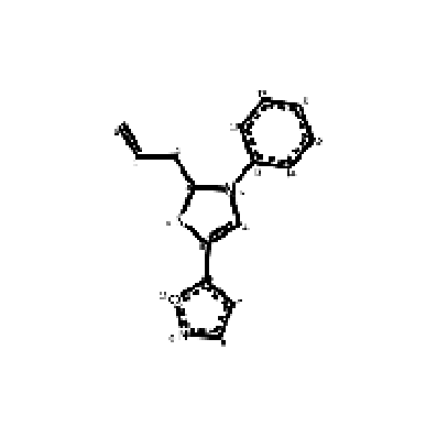 C=CCC1SC(c2ccno2)=[C]N1c1ccccc1